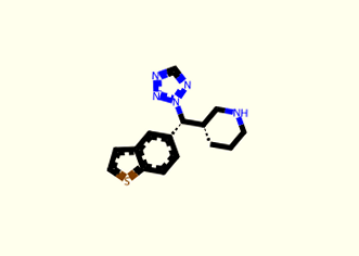 c1nnn([C@@H](c2ccc3sccc3c2)[C@H]2CCCNC2)n1